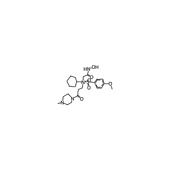 COc1ccc(S(=O)(=O)[N+](CCC(=O)N2CCN(C)CC2)(CC(=O)NO)C2CCCCC2)cc1